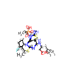 CC(C)C[C@H](CO)Nc1nc(SC(C)c2ccccc2F)nc2c1sc(=N)n2OP(C)(=O)O